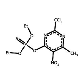 CCOP(=S)(OCC)Oc1nc(C(Cl)(Cl)Cl)nc(C)c1[N+](=O)[O-]